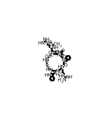 CC(=O)N[C@@H](CCCNC(=N)N)C(=O)N[C@H]1CCC(=O)NCCCCNC(=O)[C@H](Cc2c[nH]c3ccccc23)NC(=O)[C@H](CCCNC(=N)N)NC(=O)[C@@H](Cc2ccccc2)NC(=O)[C@H](CC(N)=O)NC1=O